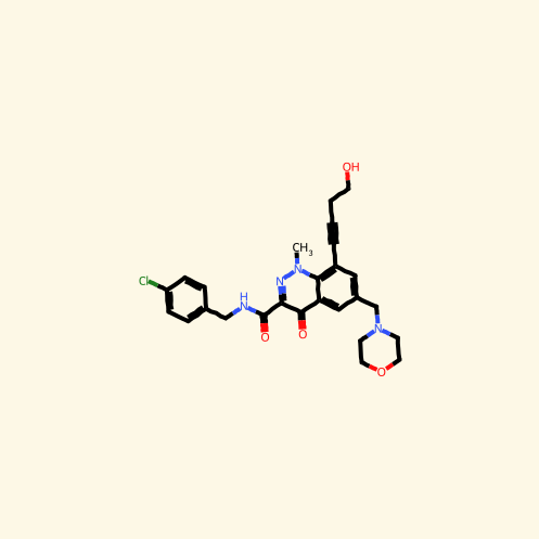 Cn1nc(C(=O)NCc2ccc(Cl)cc2)c(=O)c2cc(CN3CCOCC3)cc(C#CCCO)c21